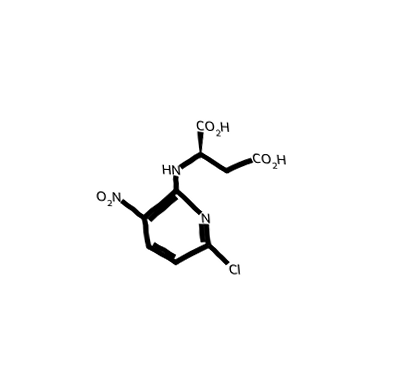 O=C(O)C[C@@H](Nc1nc(Cl)ccc1[N+](=O)[O-])C(=O)O